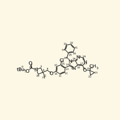 CC(C)(C)OC(=O)N1CC(F)(COc2ccc(-c3nc4c(OC5(C)CC5)ncnc4n3Cc3ccccc3)c(Cl)c2)C1